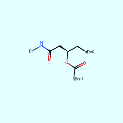 [CH2]CNC(=O)C[C@@H](CCCCCCCCCCC)OC(=O)CCCCC